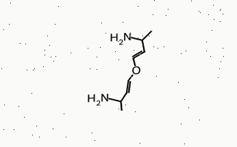 CC(N)/C=C/O/C=C/C(C)N